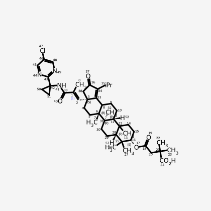 C/C(=C\[C@@]12CC[C@]3(C)C(CC[C@@H]4C5(C)CC[C@H](OC(=O)CC(C)(C)C(=O)O)C(C)(C)[C@@H]5CC[C@]43C)C1=C(C(C)C)C(=O)C2)C(=O)NC1(c2ncc(Cl)cn2)CC1